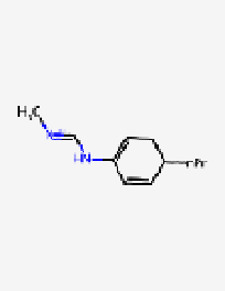 CCCC1C=CC(N/C=N/C)=CC1